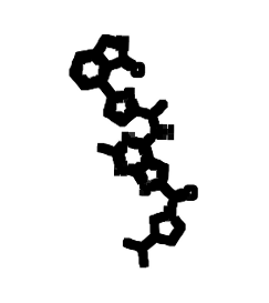 Cc1nc(NC(C)c2ccc(-c3cccc4c3C(=O)N=C4)s2)c2cc(C(=O)N3CCC(C(C)C)C3)sc2n1